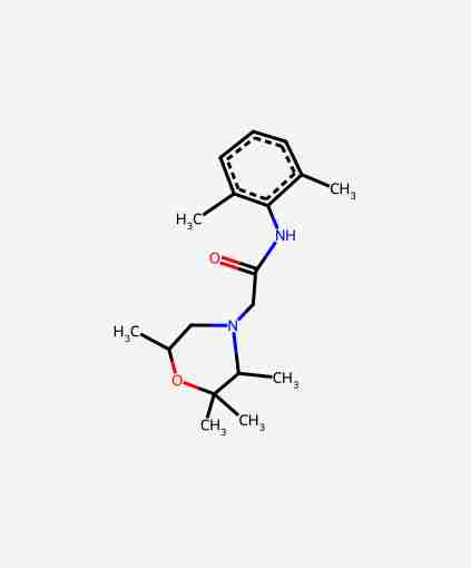 Cc1cccc(C)c1NC(=O)CN1CC(C)OC(C)(C)C1C